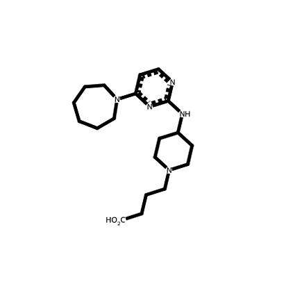 O=C(O)CCCN1CCC(Nc2nccc(N3CCCCCC3)n2)CC1